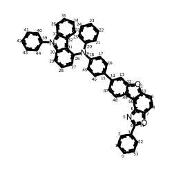 c1ccc(-c2nc3c(ccc4oc5cc(-c6ccc(N(c7ccccc7)c7cccc8c7c7ccccc7n8-c7ccccc7)cc6)ccc5c43)o2)cc1